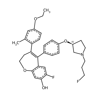 CCOc1ccc(C2=C(c3ccc(O[C@H]4CCN(CCCF)C4)cc3)c3cc(F)c(O)cc3OCC2)c(C)c1